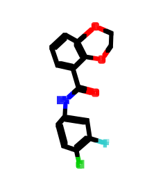 O=C(Nc1ccc(Cl)c(F)c1)c1cccc2c1OCCO2